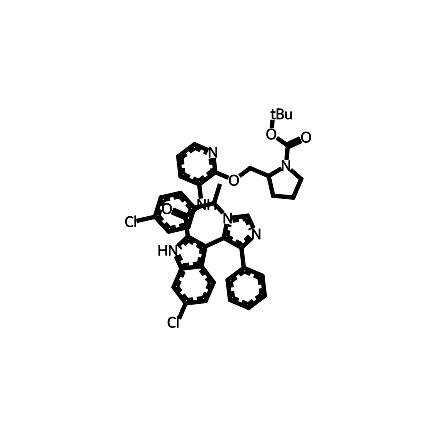 CC(c1ccc(Cl)cc1)n1cnc(-c2ccccc2)c1-c1c(C(=O)Nc2cccnc2OCC2CCCN2C(=O)OC(C)(C)C)[nH]c2cc(Cl)ccc12